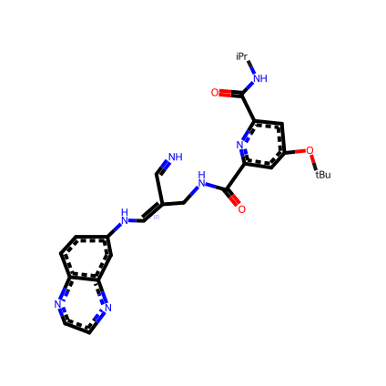 CC(C)NC(=O)c1cc(OC(C)(C)C)cc(C(=O)NC/C(C=N)=C/Nc2ccc3nccnc3c2)n1